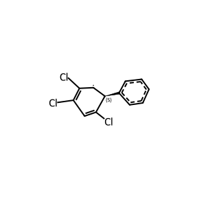 ClC1=CC(Cl)=C(Cl)[CH][C@H]1c1ccccc1